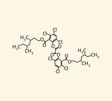 CCC(C)CC(C)CCOC(=O)c1c(Cl)c(Cl)cc(Cl)c1OC(=O)C(=O)Oc1c(Cl)cc(Cl)c(Cl)c1C(=O)OCCC(C)CC(C)CC